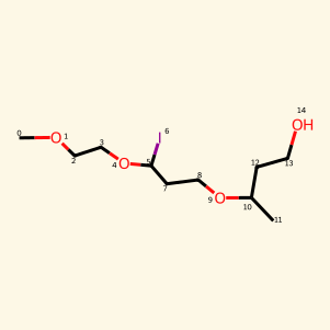 COCCOC(I)CCOC(C)CCO